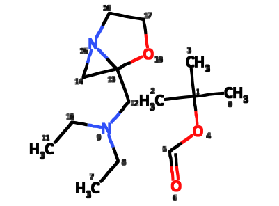 CC(C)(C)OC=O.CCN(CC)CC12CN1CCO2